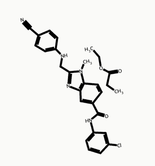 CCOC(=O)CC.Cn1c(CNc2ccc(C#N)cc2)nc2cc(C(=O)Nc3cccc(Cl)c3)ccc21